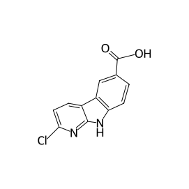 O=C(O)c1ccc2[nH]c3nc(Cl)ccc3c2c1